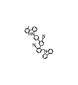 Cc1ccccc1-c1ccccc1NC1C=CC(C2=CC(c3c(C#N)cccc3CN3c4ccccc4C4C=CC=CC43)CC=C2C#N)=CC1